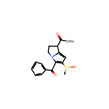 COC(=O)C1CCn2c1cc([S+](C)[O-])c2C(=O)c1ccccc1